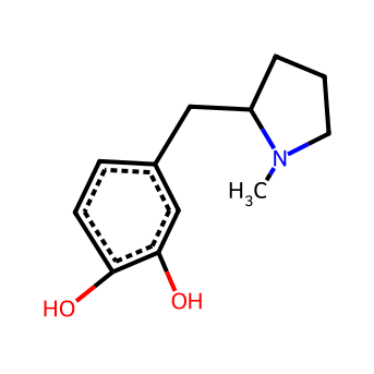 CN1CCCC1Cc1ccc(O)c(O)c1